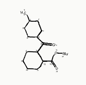 CC1CCC(C(=O)C2CCCCC2C(=O)OC(C)(C)C)CC1